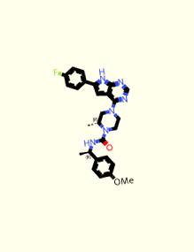 COc1ccc([C@@H](C)NC(=O)N2CCN(c3ncnc4[nH]c(-c5ccc(F)cc5)cc34)C[C@H]2C)cc1